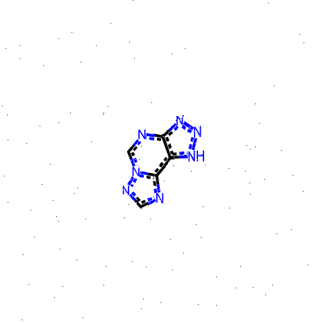 c1nc2c3[nH]nnc3ncn2n1